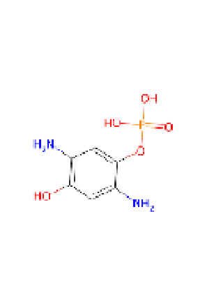 Nc1cc(OP(=O)(O)O)c(N)cc1O